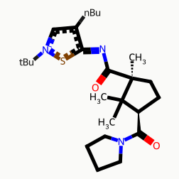 CCCCc1cn(C(C)(C)C)s/c1=N\C(=O)[C@@]1(C)CC[C@@H](C(=O)N2CCCC2)C1(C)C